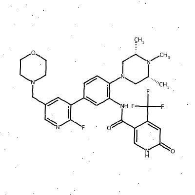 C[C@@H]1CN(c2ccc(-c3cc(CN4CCOCC4)cnc3F)cc2NC(=O)c2c[nH]c(=O)cc2C(F)(F)F)C[C@H](C)N1C